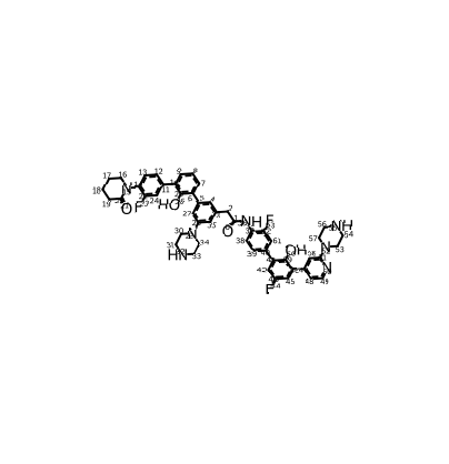 O=C(Cc1cc(-c2cccc(-c3ccc(N4CCCCC4=O)c(F)c3)c2O)cc(N2CCNCC2)c1)Nc1ccc(-c2cc(F)cc(-c3ccnc(N4CCNCC4)c3)c2O)cc1F